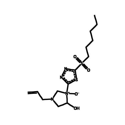 C=CCN1CC(O)[N+]([O-])(c2nnc(S(=O)(=O)CCCCCC)s2)C1